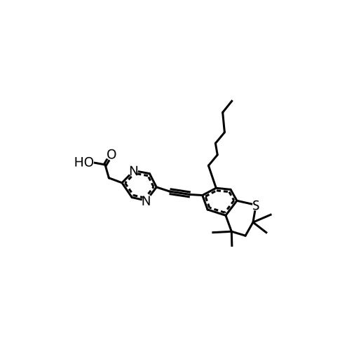 CCCCCCc1cc2c(cc1C#Cc1cnc(CC(=O)O)cn1)C(C)(C)CC(C)(C)S2